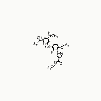 CCOC(=O)c1cnn(-c2c(OC)ccc(Nc3nc(NC)cc(C(C)C)n3)c2F)c1